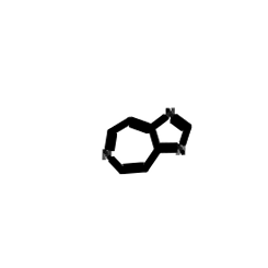 c1cc2ncnc-2ccn1